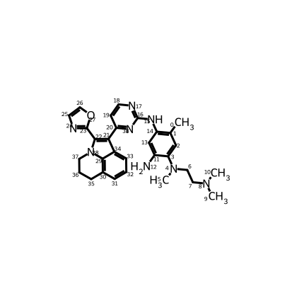 Cc1cc(N(C)CCN(C)C)c(N)cc1Nc1nccc(-c2c(-c3ncco3)n3c4c(cccc24)CCC3)n1